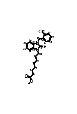 COC(=O)CCCCCCCn1c(=O)n(Cc2ccccc2Cl)c2ccccc21